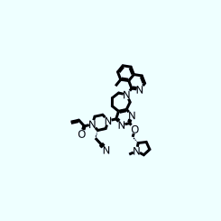 C=CC(=O)N1CCN(c2nc(OC[C@@H]3CCCN3C)nc3c2CCCN(c2nccc4cccc(C)c24)C3)C[C@@H]1CC#N